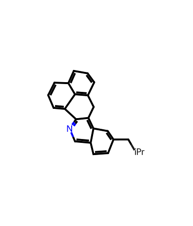 CC(C)Cc1ccc2cnc3c(c2c1)Cc1cccc2cccc-3c12